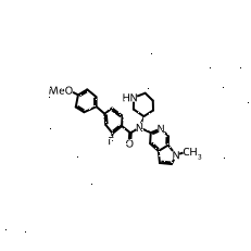 COc1ccc(-c2ccc(C(=O)N(c3cc4ccn(C)c4cn3)[C@@H]3CCCNC3)c(F)c2)cc1